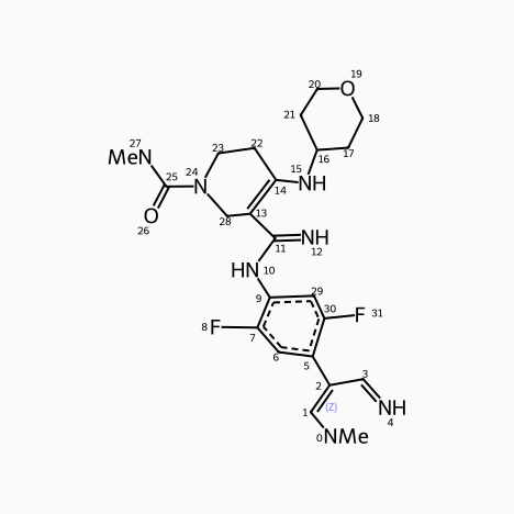 CN/C=C(\C=N)c1cc(F)c(NC(=N)C2=C(NC3CCOCC3)CCN(C(=O)NC)C2)cc1F